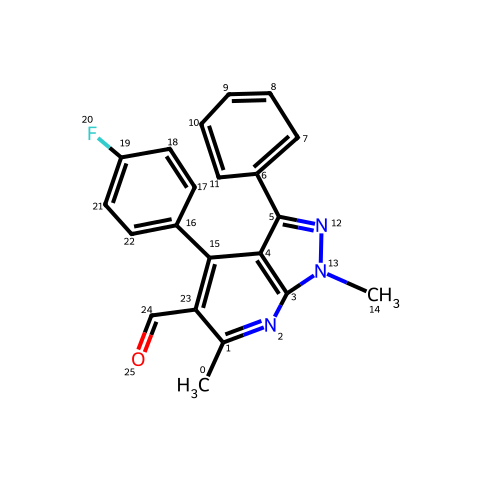 Cc1nc2c(c(-c3ccccc3)nn2C)c(-c2ccc(F)cc2)c1C=O